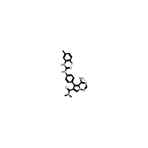 Cc1ccc(F)c(NC(=O)Nc2ccc(-c3c(C(=O)N(C)C)cn4ncnc(N)c34)cc2)c1